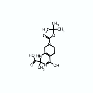 CC(C)(C)OC(=O)N1CCC2=C(C1)NC(C)(C(=O)O)N=C2O